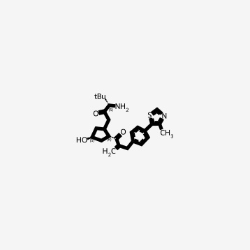 C=C(Cc1ccc(-c2scnc2C)cc1)C(=O)[C@@H]1C[C@@H](O)CC1CC(=O)[C@@H](N)C(C)(C)C